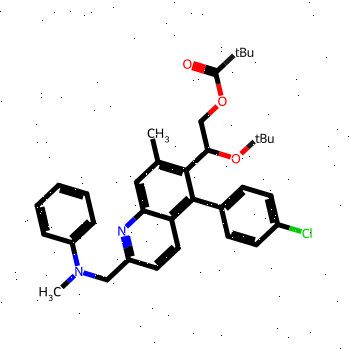 Cc1cc2nc(CN(C)c3ccccc3)ccc2c(-c2ccc(Cl)cc2)c1C(COC(=O)C(C)(C)C)OC(C)(C)C